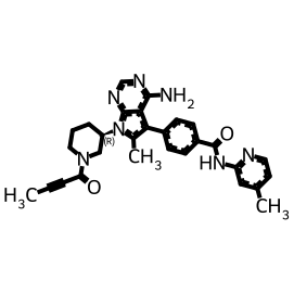 CC#CC(=O)N1CCC[C@@H](n2c(C)c(-c3ccc(C(=O)Nc4cc(C)ccn4)cc3)c3c(N)ncnc32)C1